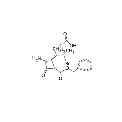 CC(=C1C(C(=O)OCc2ccccc2)C(=O)N1N)C(C)Br.CC(=O)O